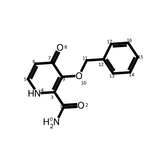 NC(=O)c1[nH]ccc(=O)c1OCc1ccccc1